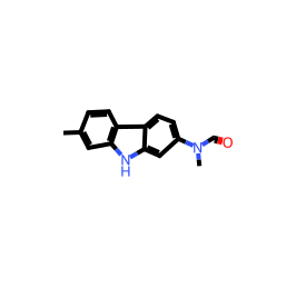 Cc1ccc2c(c1)[nH]c1cc(N(C)C=O)ccc12